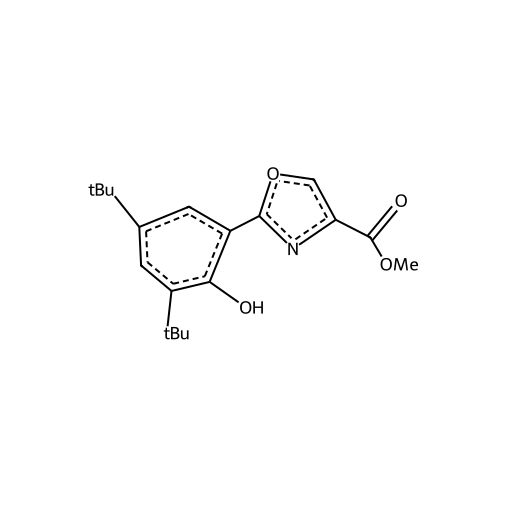 COC(=O)c1coc(-c2cc(C(C)(C)C)cc(C(C)(C)C)c2O)n1